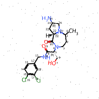 CC1CCN([C@H](CO)C(=O)NCc2ccc(Cl)c(Cl)c2)C(=O)[C@@H]2C[C@@H](N)CN12